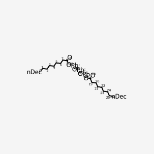 CCCCCCCCCCCCCCCCCC(=O)[O][Pb][O][Pb][O][Pb][O]C(=O)CCCCCCCCCCCCCCCCC